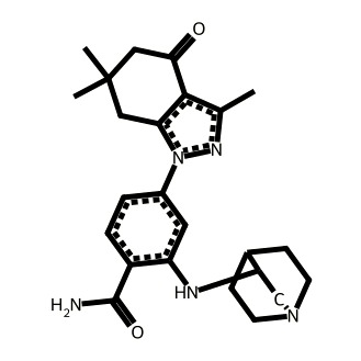 Cc1nn(-c2ccc(C(N)=O)c(NC3CN4CCC3CC4)c2)c2c1C(=O)CC(C)(C)C2